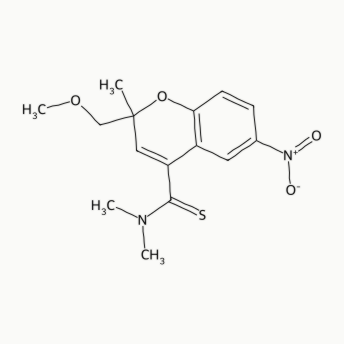 COCC1(C)C=C(C(=S)N(C)C)c2cc([N+](=O)[O-])ccc2O1